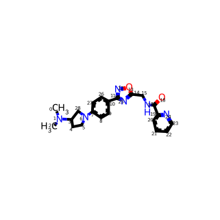 CN(C)C1CCN(c2ccc(-c3noc(CNC(=O)c4ccccn4)n3)cc2)C1